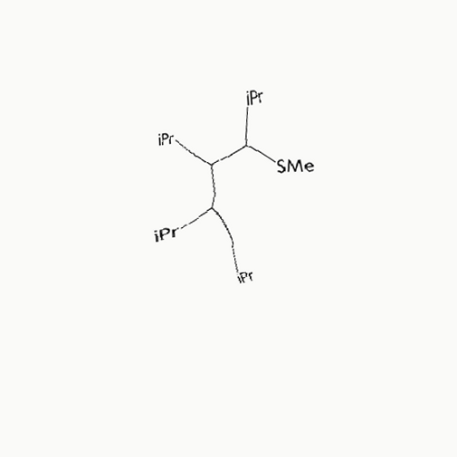 CSC(C(C)C)C(C(C)C)C(CC(C)C)C(C)C